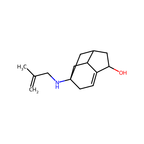 C=C(C)CNC12CC=C3C(O)CC(C1)C3C2